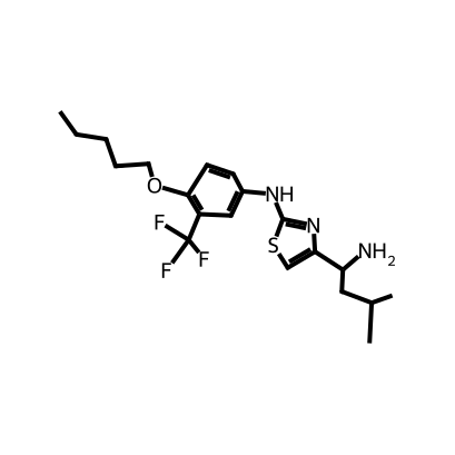 CCCCCOc1ccc(Nc2nc(C(N)CC(C)C)cs2)cc1C(F)(F)F